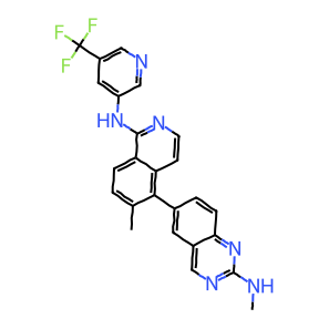 CNc1ncc2cc(-c3c(C)ccc4c(Nc5cncc(C(F)(F)F)c5)nccc34)ccc2n1